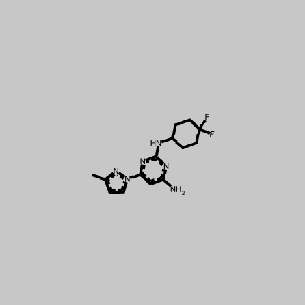 Cc1ccn(-c2cc(N)nc(NC3CCC(F)(F)CC3)n2)n1